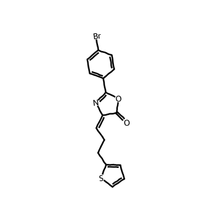 O=C1OC(c2ccc(Br)cc2)=N/C1=C/CCc1cccs1